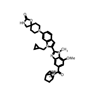 COc1cc(C(=O)N2CC3CCC2[C@@H]3N)cc2nc(-c3cc4ccc(N5CCC6(CC5)CNC(=O)O6)cc4n3CC3CC3)n(C)c12